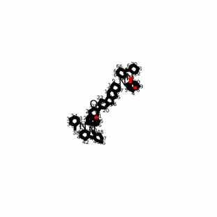 Cc1ccccc1N(c1ccc2cc3c(cc2c1)Cc1cc2c(cc1-3)oc1cc3cc(N(c4ccccc4C)c4cccc5c6ccccc6n(-c6ccccc6)c45)ccc3cc12)c1cccc2c3ccccc3n(-c3ccccc3)c12